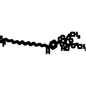 CCOC(=O)C(O)C(OC(=O)c1ccc(NCCCCCCCCCCCCCCCC(F)(F)F)cc1)C(=O)OCC